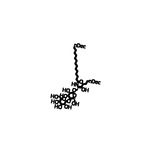 CCCCCCCCCCCCCCCCCCCCCCCC(=O)N[C@@H](CO[C@@H]1O[C@H](CO)[C@@H](O[C@@H]2O[C@H](CO)[C@H](O)C(O)C2O)C(O)C1O)[C@H](O)CCCCCCCCCCCCC